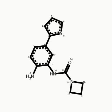 Nc1ccc(-c2cccs2)cc1NC(=O)N1CCC1